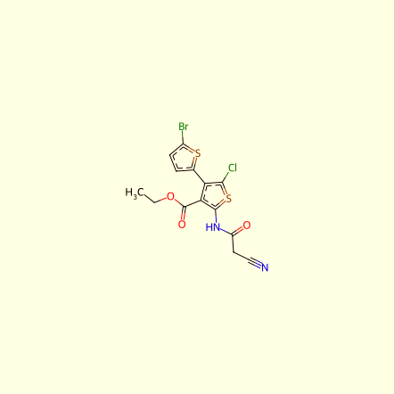 CCOC(=O)c1c(NC(=O)CC#N)sc(Cl)c1-c1ccc(Br)s1